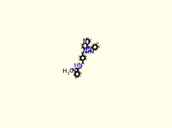 Cn1cc(CNCc2ccc(CN(Cc3nc4ccccc4[nH]3)C3C=C4C=CC=NC4CC3)cc2)c2ccccc21